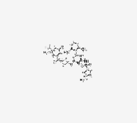 Cc1cccc(C)c1-c1cc(OC2CN(C(=O)C3=CC(=O)CC(C)(C)O3)C2)nc(NS(=O)(=O)c2cnn(C)c2)n1